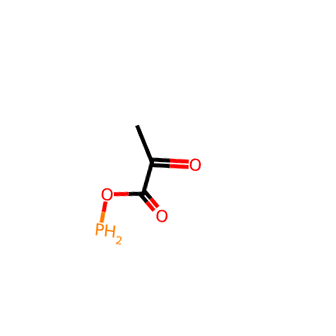 CC(=O)C(=O)OP